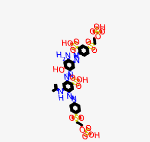 C=C(C)Nc1cc(/N=N/c2cc(/N=N/c3ccc(S(=O)(=O)CCOS(=O)(=O)O)cc3S(=O)(=O)O)c(N)cc2O)c(S(=O)(=O)O)cc1/N=N/c1ccc(S(=O)(=O)CCOS(=O)(=O)O)cc1